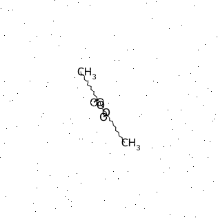 CCCCCCCCCCCC(=O)OCCOOC(=O)CCCCCCCCCCC